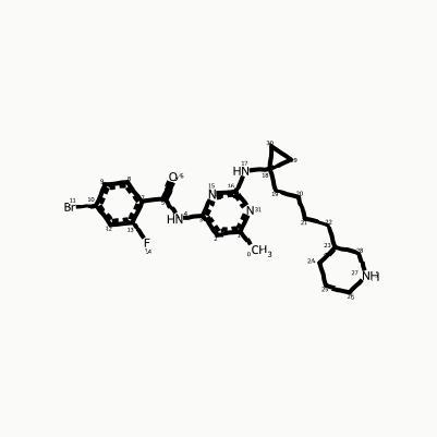 Cc1cc(NC(=O)c2ccc(Br)cc2F)nc(NC2(CCCCC3CCCNC3)CC2)n1